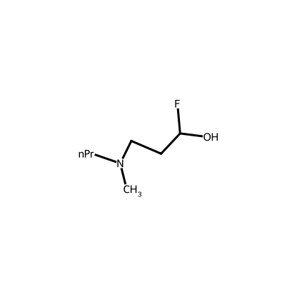 CCCN(C)CCC(O)F